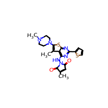 CC1=CC(=O)N(Nc2nc(-c3cccs3)nc3sc(N4CCN(C)CC4)c(C)c23)C1=O